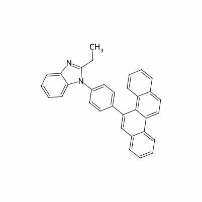 CCc1nc2ccccc2n1-c1ccc(-c2cc3ccccc3c3ccc4ccccc4c23)cc1